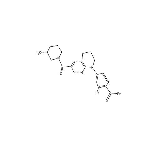 CCc1cc(N2CCCc3cc(C(=O)N4CCCC(C(F)(F)F)C4)cnc32)ccc1C(=O)C(C)C